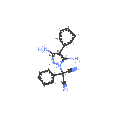 N#CC(C#N)(c1ccccc1)n1nc(N)c(-c2ccccc2)c1N